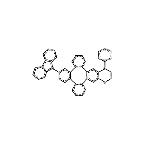 c1ccc(N2CCOc3cc4c(cc32)-c2ccccc2-c2cc(-n3c5ccccc5c5ccccc53)ccc2-c2ccccc2-4)cc1